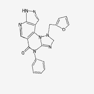 O=C1c2cnc3[nH]ncc3c2N2C(=NCN2Cc2ccco2)N1c1ccccc1